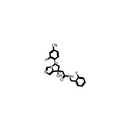 N#Cc1ccc([C@H]2C[C@](O)(CC(=O)NCc3ccccc3F)c3cncn32)c(F)c1